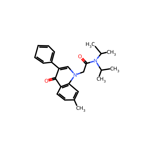 Cc1ccc2c(=O)c(-c3ccccc3)cn(CC(=O)N(C(C)C)C(C)C)c2c1